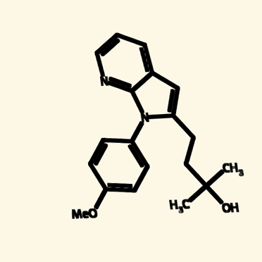 COc1ccc(-n2c(CCC(C)(C)O)cc3cccnc32)cc1